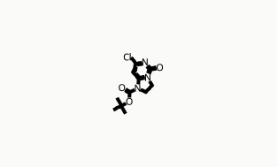 CC(C)(C)OC(=O)N1CCn2c1cc(Cl)nc2=O